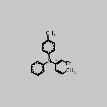 C/C=C\C(=C/CC)N(c1ccccc1)c1ccc(C)cc1